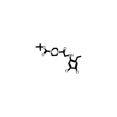 CCc1cc(Cl)c(Cl)cc1NCC(=O)N1CCN(C(=O)OC(C)(C)C)CC1